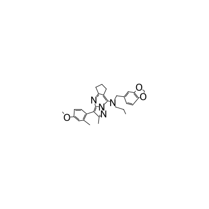 CCCN(Cc1ccc2c(c1)OCO2)c1c2c(nc3c(-c4ccc(OC)cc4C)c(C)nn13)CCC2